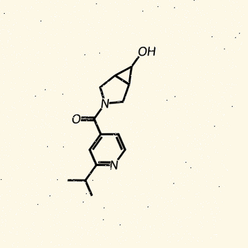 CC(C)c1cc(C(=O)N2CC3C(O)C3C2)ccn1